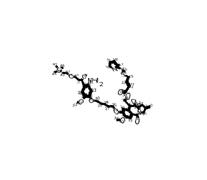 C=C1C[C@H]2C(=O)C(COC(=O)CCCSSc3ccccn3)c3cc(OCCCCCOc4cc(N)c(C(=O)CCOCC[Si](C)(C)C)cc4OC)c(OC)cc3C(=O)N2C1